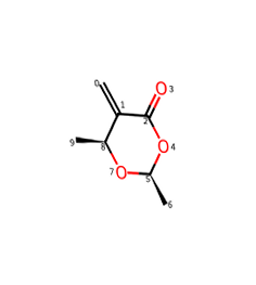 C=C1C(=O)O[C@@H](C)O[C@H]1C